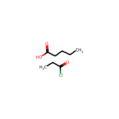 CCC(=O)Cl.CCCCC(=O)O